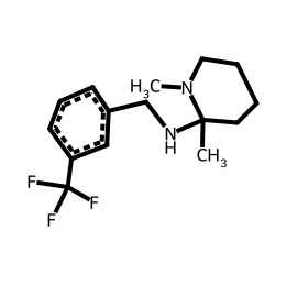 CN1CCCCC1(C)NCc1cccc(C(F)(F)F)c1